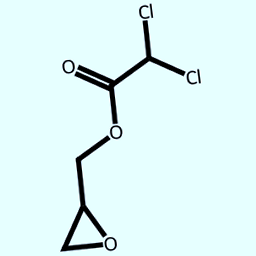 O=C(OCC1CO1)C(Cl)Cl